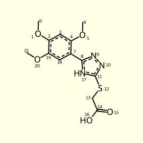 COc1cc(OC)c(-c2nnc(SCC(=O)O)[nH]2)cc1OC